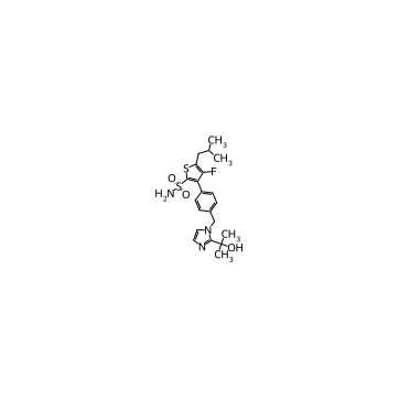 CC(C)Cc1sc(S(N)(=O)=O)c(-c2ccc(Cn3ccnc3C(C)(C)O)cc2)c1F